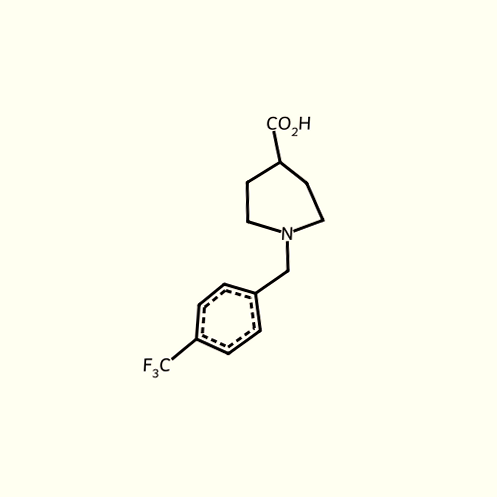 O=C(O)C1CCN(Cc2ccc(C(F)(F)F)cc2)CC1